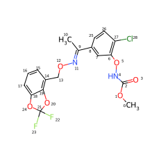 COC(=O)NOc1cc(/C(C)=N/OCc2cccc3c2OC(F)(F)O3)ccc1Cl